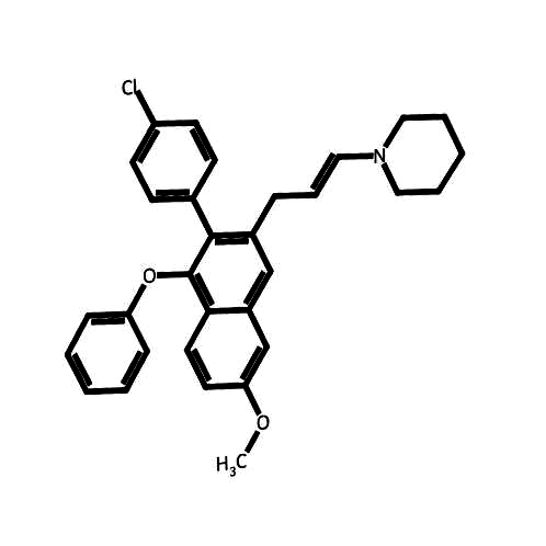 COc1ccc2c(Oc3ccccc3)c(-c3ccc(Cl)cc3)c(CC=CN3CCCCC3)cc2c1